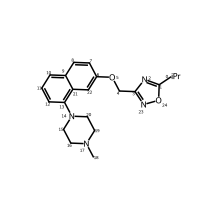 CC(C)c1nc(COc2ccc3cccc(N4CCN(C)CC4)c3c2)no1